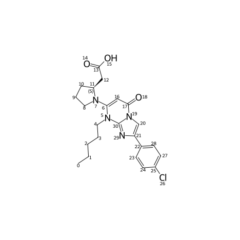 CCCCCn1c(N2CCC[C@H]2CC(=O)O)cc(=O)n2cc(-c3ccc(Cl)cc3)nc12